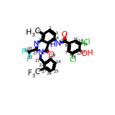 Cc1ccc(NC(=O)c2cc(Cl)c(O)c(Cl)c2)c2c(=O)n(Cc3ccccc3C(F)(F)F)c(C(F)F)nc12